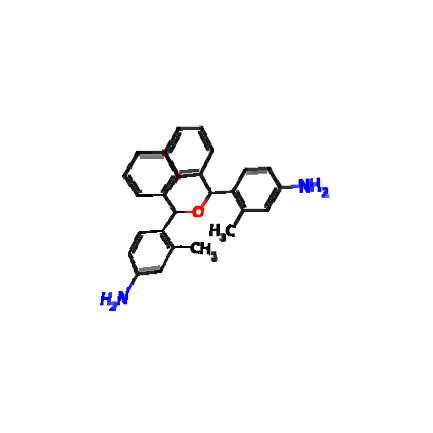 Cc1cc(N)ccc1C(OC(c1ccccc1)c1ccc(N)cc1C)c1ccccc1